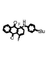 CC(C)(C)c1ccc(NC2(F)CC=C(F)C3=C2C(=O)c2ccccc2C3=O)cc1